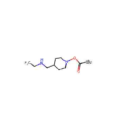 CC(C)(C)C(=O)ON1CCC(CNCC(F)(F)F)CC1